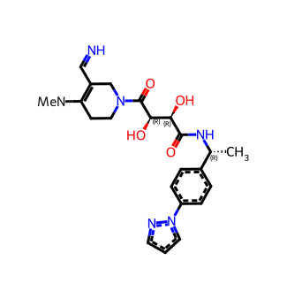 CNC1=C(C=N)CN(C(=O)[C@H](O)[C@@H](O)C(=O)N[C@H](C)c2ccc(-n3cccn3)cc2)CC1